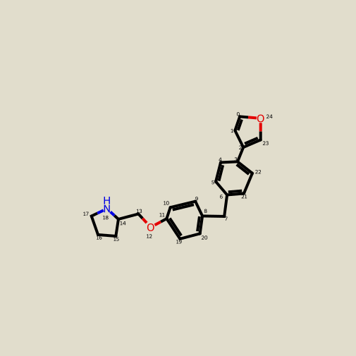 c1cc(-c2ccc(Cc3ccc(OCC4CCCN4)cc3)cc2)co1